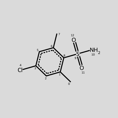 Cc1cc(Cl)cc(C)c1S(N)(=O)=O